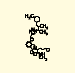 C=C1CCCC(CC(C)C(C)n2cc(COc3cccc4c3CN(C(CCC=O)C(=O)NC)C4=O)nn2)C1